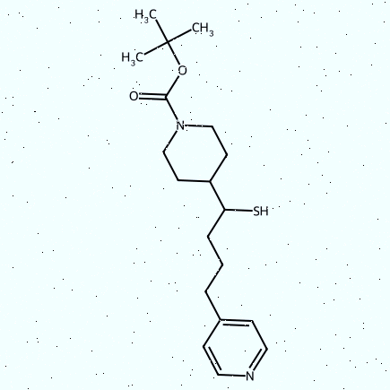 CC(C)(C)OC(=O)N1CCC(C(S)CCCc2ccncc2)CC1